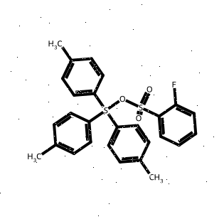 Cc1ccc(S(OS(=O)(=O)c2ccccc2F)(c2ccc(C)cc2)c2ccc(C)cc2)cc1